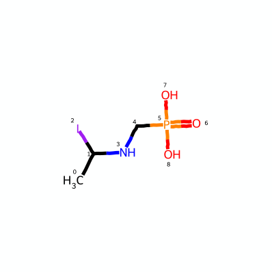 CC(I)NCP(=O)(O)O